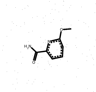 COc1cc[c]c(C(N)=O)n1